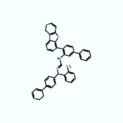 Nc1ccccc1C(/N=C/Nc1cc(-c2ccccc2)ccc1-c1cccc2c3c(oc12)C=CCC3)c1ccc(C2=CC=CCC2)cc1